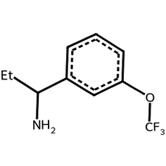 CCC(N)c1cccc(OC(F)(F)F)c1